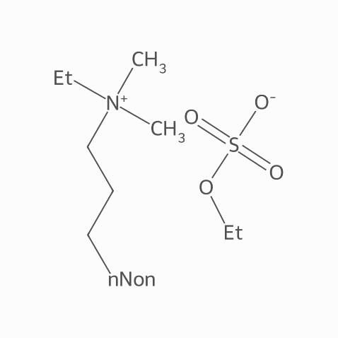 CCCCCCCCCCCC[N+](C)(C)CC.CCOS(=O)(=O)[O-]